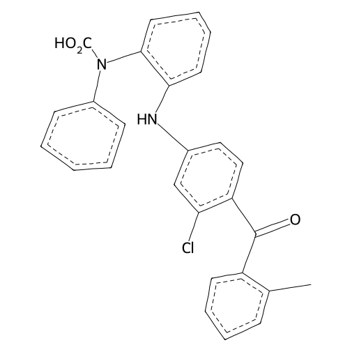 Cc1ccccc1C(=O)c1ccc(Nc2ccccc2N(C(=O)O)c2ccccc2)cc1Cl